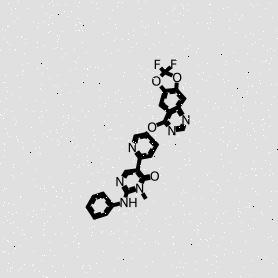 Cn1c(Nc2ccccc2)ncc(-c2ccc(Oc3ncnc4cc5c(cc34)OC(F)(F)O5)cn2)c1=O